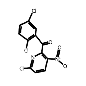 O=C(c1cc(Cl)ccc1Cl)c1nc(Cl)ccc1[N+](=O)[O-]